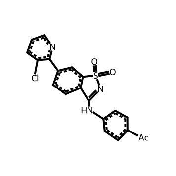 CC(=O)c1ccc(NC2=NS(=O)(=O)c3cc(-c4ncccc4Cl)ccc32)cc1